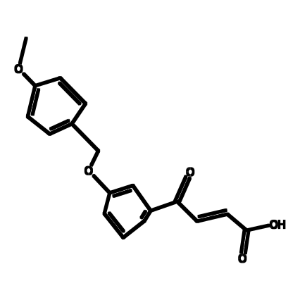 COc1ccc(COc2cccc(C(=O)C=CC(=O)O)c2)cc1